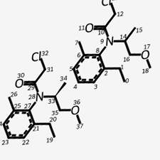 CCc1cccc(C)c1N(C(=O)CCl)C(C)COC.CCc1cccc(C)c1N(C(=O)CCl)[C@@H](C)COC